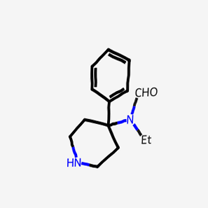 CCN(C=O)C1(c2ccccc2)CCNCC1